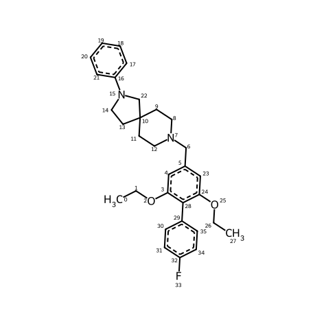 CCOc1cc(CN2CCC3(CC2)CCN(c2ccccc2)C3)cc(OCC)c1-c1ccc(F)cc1